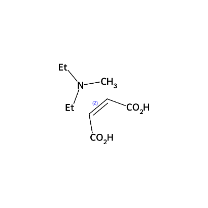 CCN(C)CC.O=C(O)/C=C\C(=O)O